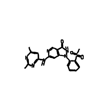 Cc1cc(Nc2cc3c(cn2)c(=O)[nH]n3-c2ccccc2S(C)(=O)=O)nc(C)n1